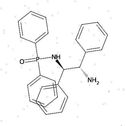 N[C@@H](c1ccccc1)[C@H](NP(=O)(c1ccccc1)c1ccccc1)c1ccccc1